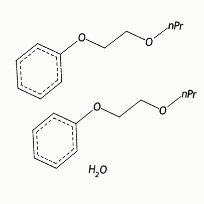 CCCOCCOc1ccccc1.CCCOCCOc1ccccc1.O